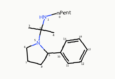 CCCCCNC(C)(C)N1CCCC1c1ccccc1